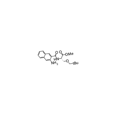 COC(=O)[C@H](COCC(C)(C)C)NC(=O)c1cc2ccccc2cc1N